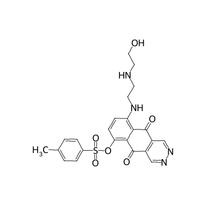 Cc1ccc(S(=O)(=O)Oc2ccc(NCCNCCO)c3c2C(=O)c2cnncc2C3=O)cc1